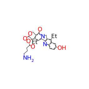 CCc1c2c(nc3ccc(O)cc13)-c1cc3c(c(=O)n1C2)COC(=O)[C@@]3(CC)OC(=O)CCCN